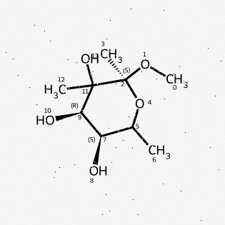 CO[C@@]1(C)OC(C)[C@@H](O)[C@@H](O)C1(C)O